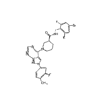 Cc1ccc(-n2cc3c(N4CCC[C@H](C(=O)NCc5c(F)cc(Br)cc5F)C4)ncnc3n2)cc1F